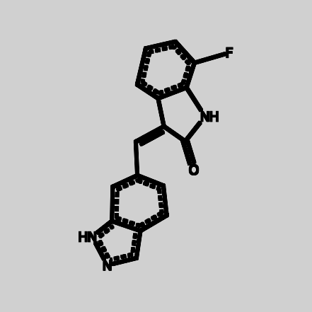 O=C1Nc2c(F)cccc2C1=Cc1ccc2cn[nH]c2c1